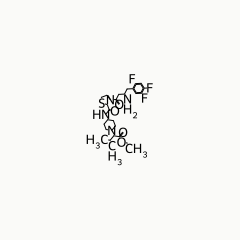 CCOC(=O)C(C(C)C)N1CCC(NC(=O)C2SCCN2C(=O)CC(N)Cc2cc(F)c(F)cc2F)CC1